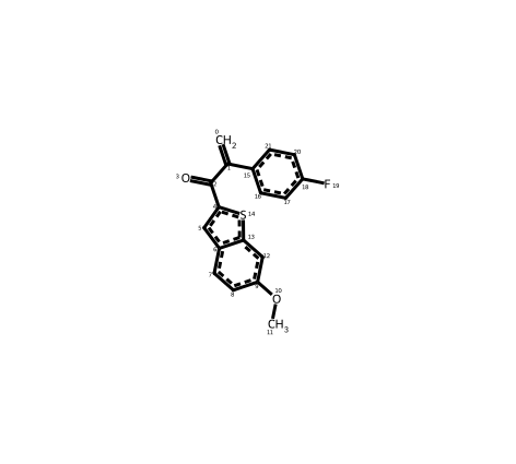 C=C(C(=O)c1cc2ccc(OC)cc2s1)c1ccc(F)cc1